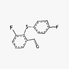 O=Cc1cccc(F)c1Sc1ccc(F)cc1